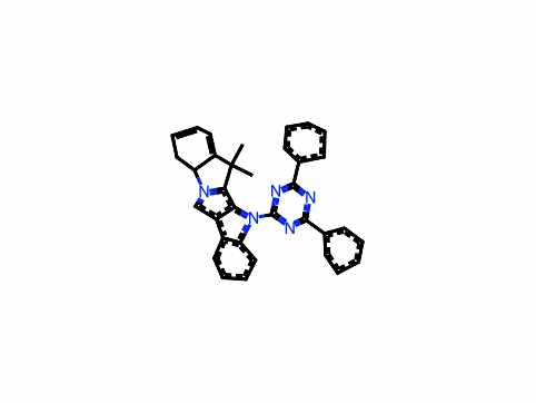 CC1(C)C2=CC=CCC2n2cc3c4ccccc4n(-c4nc(-c5ccccc5)nc(-c5ccccc5)n4)c3c21